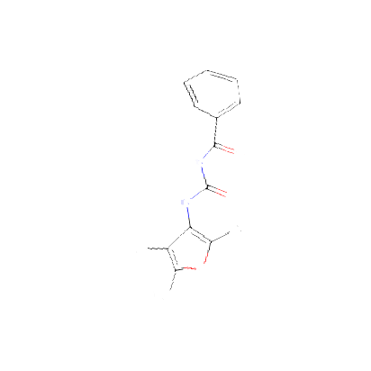 Cc1oc(C#N)c(NC(=O)NC(=O)c2ccccc2)c1C